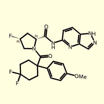 COc1ccc(C2(C(=O)N3C[C@H](F)C[C@@H]3C(=O)Nc3ccc4[nH]ncc4n3)CCC(F)(F)CC2)cc1